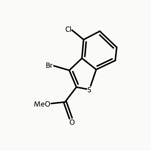 COC(=O)c1sc2cccc(Cl)c2c1Br